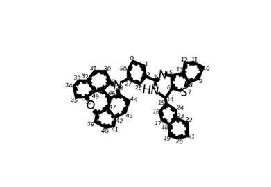 c1cc(C2=Nc3c(sc4ccccc34)C(c3ccc4ccccc4c3)N2)cc(-n2c3ccc4cccc5oc6cccc7ccc2c(c76)c3c45)c1